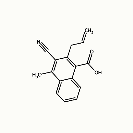 C=CCc1c(C#N)c(C)c2ccccc2c1C(=O)O